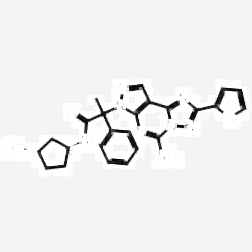 CC(C(=O)N[C@H]1CC[C@H](O)C1)(c1ccccc1)n1ncc2c1nc(N)n1nc(-c3ccco3)nc21